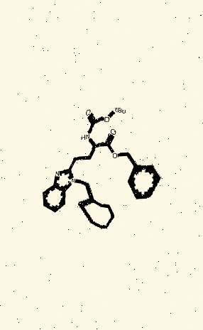 CC(C)(C)OC(=O)NC(CCc1nc2ccccc2n1CC1CCCCC1)C(=O)OCc1ccccc1